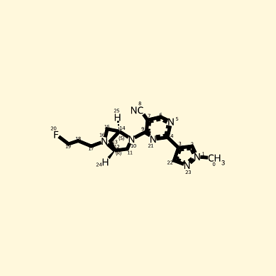 Cn1cc(-c2ncc(C#N)c(N3C[C@H]4C[C@H]3CN4CCCF)n2)cn1